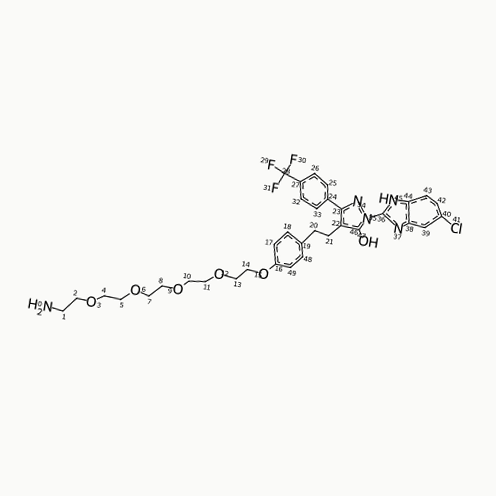 NCCOCCOCCOCCOCCOc1ccc(CCc2c(-c3ccc(C(F)(F)F)cc3)nn(-c3nc4cc(Cl)ccc4[nH]3)c2O)cc1